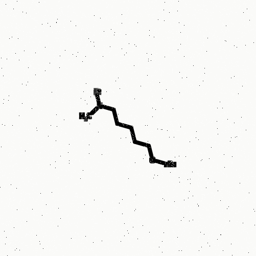 CCCCOCCCCCN(C)CC